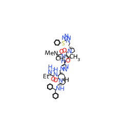 CC[C@H](N)C(=O)NC1C(=O)N2[C@@H](CC[C@@H]1Cn1cc(CO[C@H](C)[C@H](NC(=O)[C@H](C)NC)C(=O)N3CCC[C@H]3CCn3nnnc3Sc3ccccc3)nn1)CC[C@H]2CNC(c1ccccc1)c1ccccc1